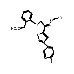 CCCO/N=C(\COc1ccccc1CC(=O)O)c1cc(-c2ccc(F)cc2)no1